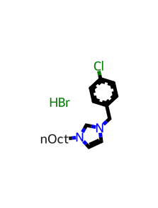 Br.CCCCCCCCN1C=CN(Cc2ccc(Cl)cc2)C1